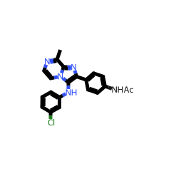 CC(=O)Nc1ccc(-c2nc3c(C)nccn3c2Nc2cccc(Cl)c2)cc1